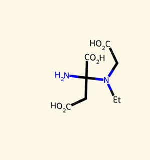 CCN(CC(=O)O)C(N)(CC(=O)O)C(=O)O